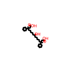 CC(CCCCCC(O)CCCCCC(C)(CC(=O)O)c1ccccc1)(CC(=O)O)c1ccccc1